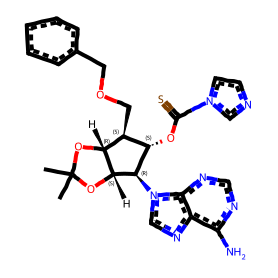 CC1(C)O[C@@H]2[C@@H](COCc3ccccc3)[C@H](OC(=S)n3ccnc3)[C@@H](n3cnc4c(N)ncnc43)[C@@H]2O1